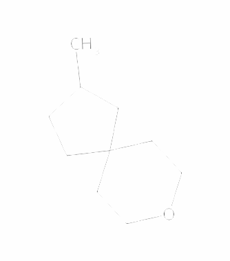 CC1CCC2(CCOCC2)C1